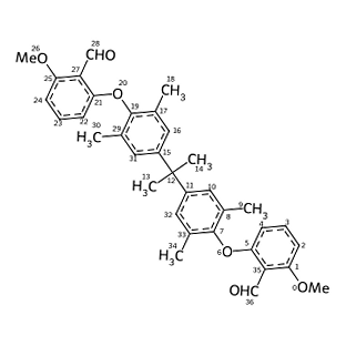 COc1cccc(Oc2c(C)cc(C(C)(C)c3cc(C)c(Oc4cccc(OC)c4C=O)c(C)c3)cc2C)c1C=O